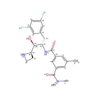 CCCN(CCC)C(=O)c1cc(C)cc(C(=O)N[C@@H](Cc2cc(F)cc(F)c2)[C@H](O)[C@H]2CCN2)c1